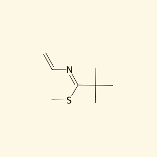 C=C/N=C(\SC)C(C)(C)C